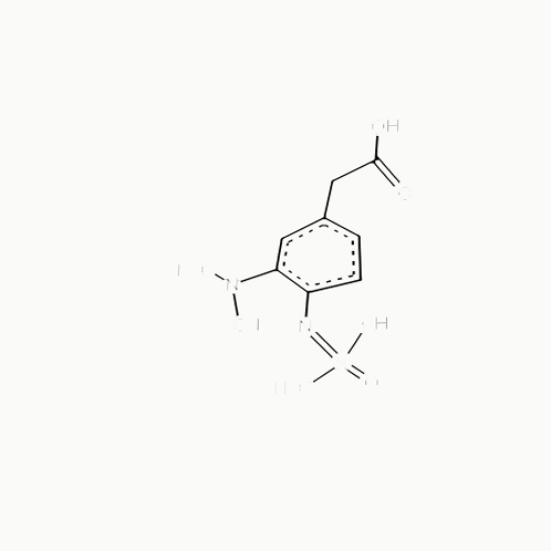 CN(C)c1cc(CC(=O)O)ccc1N=S(C)(C)=O